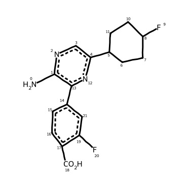 Nc1ncc(C2CCC(F)CC2)nc1-c1ccc(C(=O)O)c(F)c1